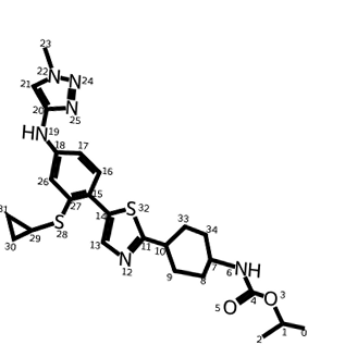 CC(C)OC(=O)NC1CCC(c2ncc(-c3ccc(Nc4cn(C)nn4)cc3SC3CC3)s2)CC1